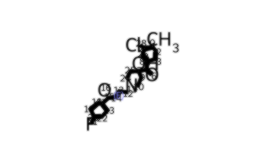 Cc1ccc(C(=O)C2(O)CCN(C/C=C/C(=O)c3ccc(F)cc3)CC2)cc1Cl